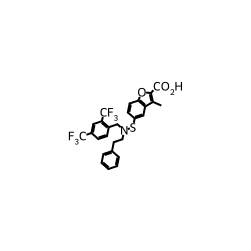 Cc1c(C(=O)O)oc2ccc(SN(CCc3ccccc3)Cc3ccc(C(F)(F)F)cc3C(F)(F)F)cc12